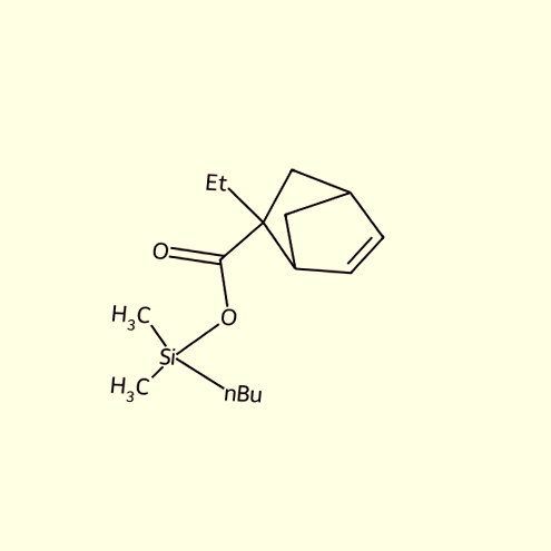 CCCC[Si](C)(C)OC(=O)C1(CC)CC2C=CC1C2